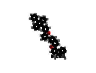 CC1(C)c2ccccc2-c2c1ccc1oc3c4cc(-c5cccc6c5oc5ccc(-c7c8ccccc8c(-c8ccccc8)c8ccccc78)cc56)ccc4ccc3c21